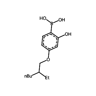 CCCCC(CC)COc1ccc(B(O)O)c(O)c1